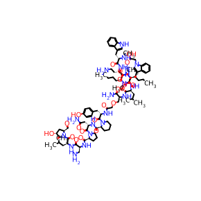 CCCC[C@@H](C(=O)N(C)[C@@H](CCCC)C(=O)N[C@@H](CC(C)C)C(=O)N[C@@H](COCC(=O)N[C@@H](Cc1ccc(O)cc1)C(=O)N1CCCC[C@H]1C(=O)N[C@@H](CC(N)=O)C(=O)N1CCC[C@H]1C(=O)N[C@@H](CN)C(=O)N[C@@H](CC(C)C)C(=O)N1C[C@H](O)C[C@H]1C=O)C(N)=O)N(C)C(=O)[C@H](Cc1cn(CC(=O)O)c2ccccc12)NC(=O)[C@H](CCN)NC(=O)[C@H](Cc1c[nH]c2ccccc12)NC